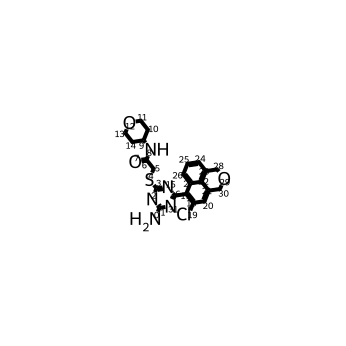 Nc1nc(SCC(=O)NC2CCOCC2)nc(-c2c(Cl)cc3c4c(cccc24)COC3)n1